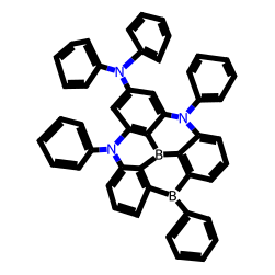 c1ccc(B2c3cccc4c3B3c5c2cccc5N(c2ccccc2)c2cc(N(c5ccccc5)c5ccccc5)cc(c23)N4c2ccccc2)cc1